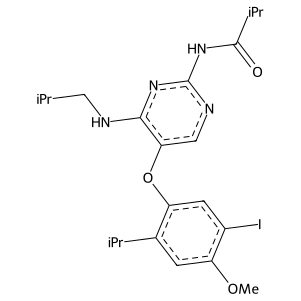 COc1cc(C(C)C)c(Oc2cnc(NC(=O)C(C)C)nc2NCC(C)C)cc1I